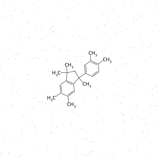 Cc1ccc(C2(C)CC(C)(C)c3cc(C)c(C)cc32)cc1C